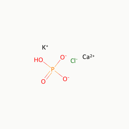 O=P([O-])([O-])O.[Ca+2].[Cl-].[K+]